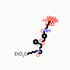 CCOC(=O)CCCCCCN1C(=O)CC[C@@H]1/C=C/[C@@H](OC(=O)Cc1ccc(C(=O)NCCCCCC(O)(P(=O)(O)O)P(=O)(O)O)cc1)C(F)(F)c1ccccc1